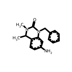 CC1c2ccc(N)cc2N(Cc2ccccc2)C(=O)N1C